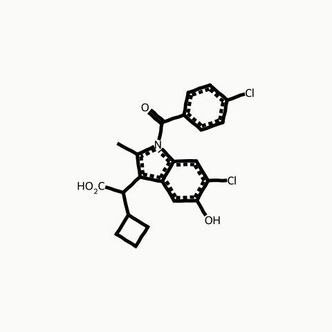 Cc1c(C(C(=O)O)C2CCC2)c2cc(O)c(Cl)cc2n1C(=O)c1ccc(Cl)cc1